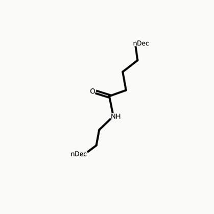 CCCCCCCCCCCCCC(=O)NCCCCCCCCCCCC